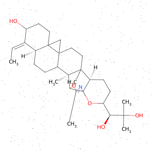 C/C=C1/C(O)CCC23CC24CCC2(C)[C@H]5CCC([C@H](O)C(C)(C)O)OC56N=C(C)OC6[C@@]2(C)C4CC[C@@H]13